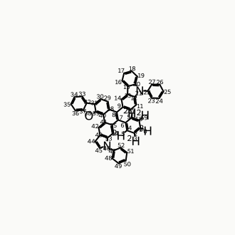 [2H]c1c([2H])c([2H])c(-c2c(-c3ccc4c(c3)c3ccccc3n4-c3ccccc3)c3ccc4c5ccccc5oc4c3c3cc4ccn(-c5ccccc5)c4cc23)c([2H])c1[2H]